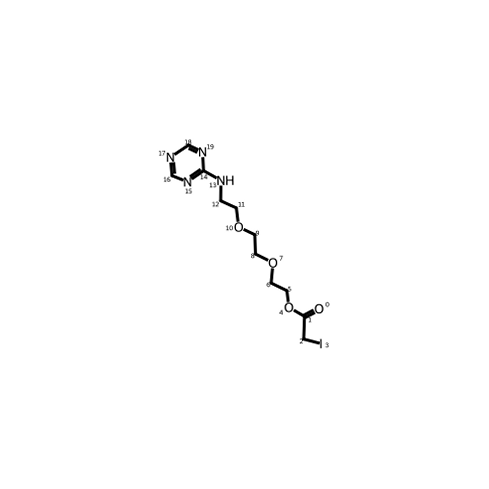 O=C(CI)OCCOCCOCCNc1ncncn1